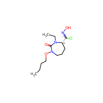 CCCCON1CCC[C@@H](/C(Cl)=N/O)N(CC)C1=O